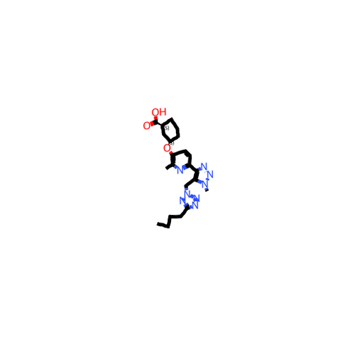 CCCCc1nnn(Cc2c(-c3ccc(O[C@H]4CCC[C@H](C(=O)O)C4)c(C)n3)nnn2C)n1